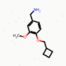 COc1cc(CN)ccc1OCC1CCC1